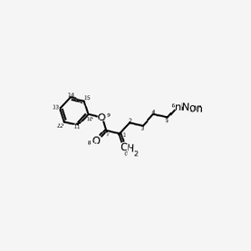 C=C(CCCCCCCCCCCCC)C(=O)Oc1ccccc1